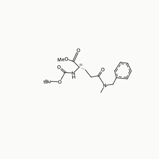 COC(=O)[C@H](CCC(=O)N(C)Cc1ccccc1)NC(=O)OC(C)(C)C